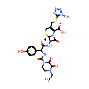 CCN1CCN(C(=O)NC(C(=O)NC2C(=O)N3C(C(=O)O)=C(CSc4nnnn4C)CS[C@H]23)c2ccc(O)cc2)C(=O)C1=O